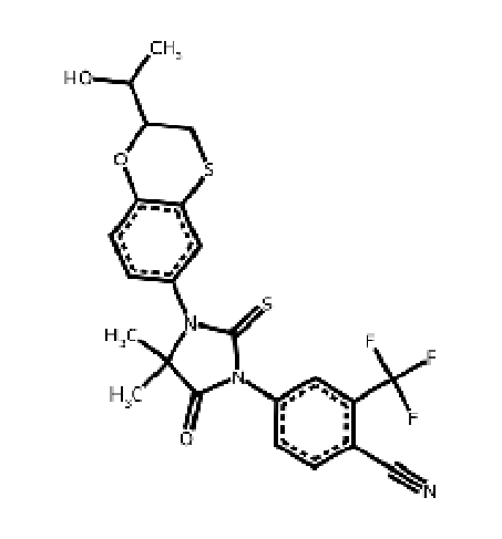 CC(O)C1CSc2cc(N3C(=S)N(c4ccc(C#N)c(C(F)(F)F)c4)C(=O)C3(C)C)ccc2O1